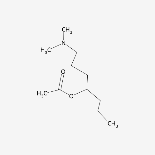 CCCC(CCCN(C)C)OC(C)=O